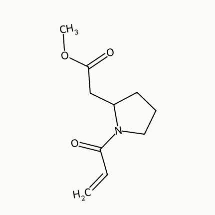 C=CC(=O)N1CCCC1CC(=O)OC